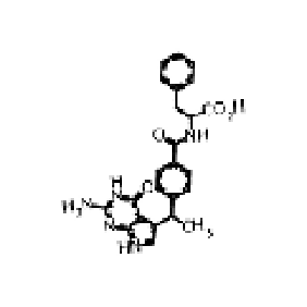 CC(c1ccc(C(=O)N[C@@H](Cc2ccccc2)C(=O)O)cc1)c1c[nH]c2nc(N)[nH]c(=O)c12